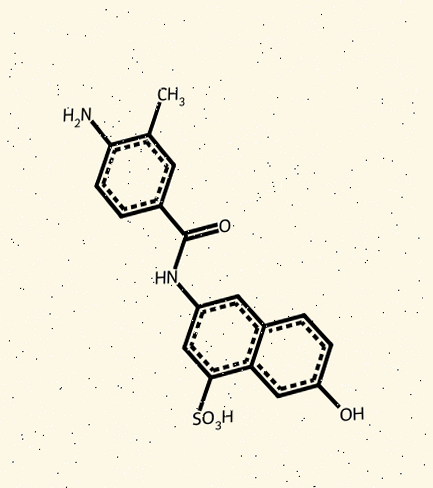 Cc1cc(C(=O)Nc2cc(S(=O)(=O)O)c3cc(O)ccc3c2)ccc1N